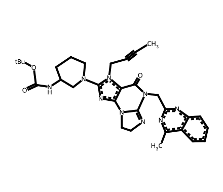 CC#CCn1c(N2CCCC(NC(=O)OC(C)(C)C)C2)nc2c1C(=O)N(Cc1nc(C)c3ccccc3n1)C1=NCCN12